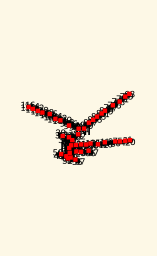 CCCCCCCCCCCCCCCCCCCCCCCCC1=C(c2cc(CCCC)c(C)c(CCCC)c2)[N+](=[N-])C(c2cc(CCCC)c(C)c(CCCC)c2)=C1CCCCCCCC.CCCCCCCCCCCCCCCCCCCCCCC[CH2][Ni][CH2]CCCCCCCCCCCCCCCCCCCCCCC